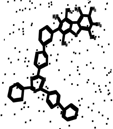 Bc1c(B)c(B)c2c(oc3c(B)c(-c4cccc(-c5ccc(-c6nc(-c7ccccc7)nc(-c7ccc(-c8ccccc8)cc7)n6)cc5)c4)c(B)c(B)c32)c1B